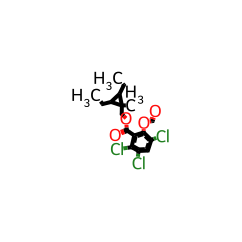 CCC1C(CC)C1(C)COC(=O)c1c(Cl)c(Cl)cc(Cl)c1OC=O